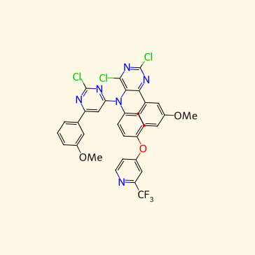 COc1cccc(-c2cc(N(c3ccc(Oc4ccnc(C(F)(F)F)c4)cc3)c3c(Cl)nc(Cl)nc3-c3cccc(OC)c3)nc(Cl)n2)c1